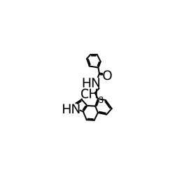 Cc1c[nH]c2ccc3cccc(CCNC(=O)c4ccccc4)c3c12